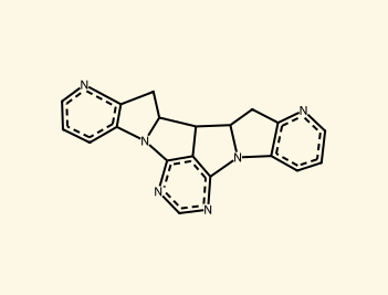 c1cnc2c(c1)N1c3ncnc4c3C(C1C2)C1Cc2ncccc2N41